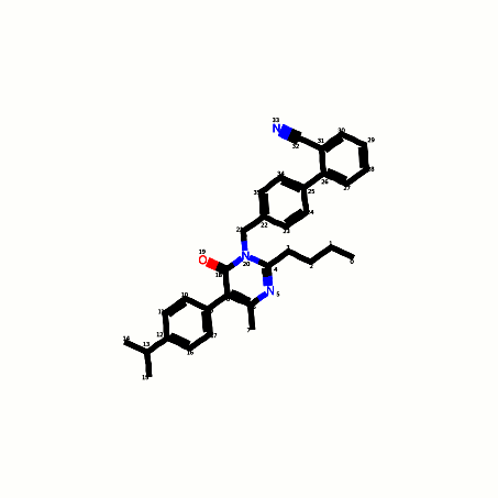 CCCCc1nc(C)c(-c2ccc(C(C)C)cc2)c(=O)n1Cc1ccc(-c2ccccc2C#N)cc1